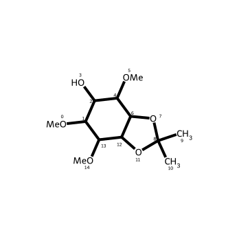 COC1C(O)C(OC)C2OC(C)(C)OC2C1OC